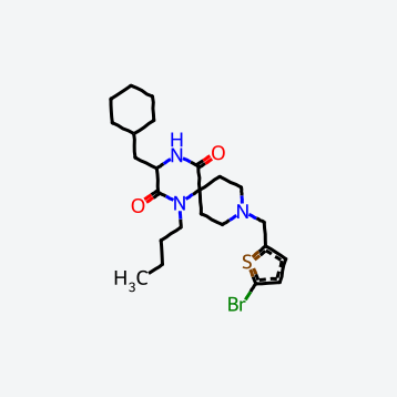 CCCCN1C(=O)C(CC2CCCCC2)NC(=O)C12CCN(Cc1ccc(Br)s1)CC2